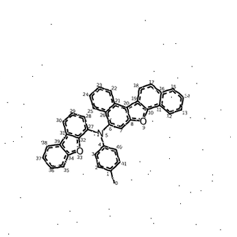 Cc1ccc(N(c2cc3oc4c5ccccc5ccc4c3c3ccccc23)c2cccc3c2oc2ccccc23)cc1